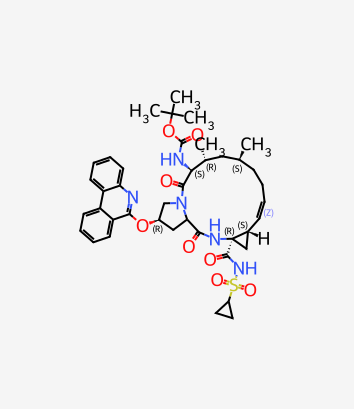 C[C@H]1CC/C=C\[C@@H]2C[C@@]2(C(=O)NS(=O)(=O)C2CC2)NC(=O)C2C[C@@H](Oc3nc4ccccc4c4ccccc34)CN2C(=O)[C@@H](NC(=O)OC(C)(C)C)[C@H](C)C1